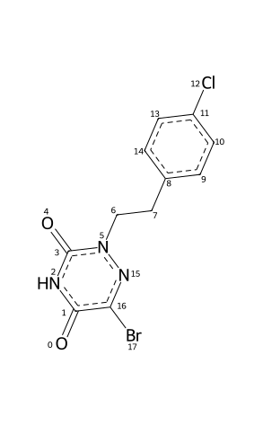 O=c1[nH]c(=O)n(CCc2ccc(Cl)cc2)nc1Br